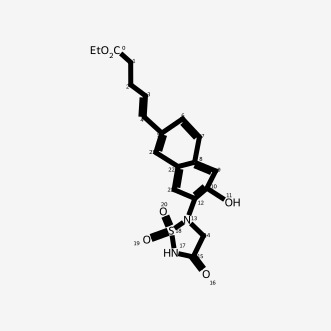 CCOC(=O)CCC=Cc1ccc2cc(O)c(N3CC(=O)NS3(=O)=O)cc2c1